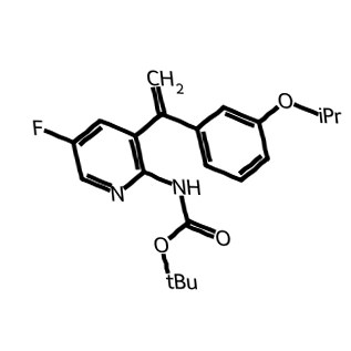 C=C(c1cccc(OC(C)C)c1)c1cc(F)cnc1NC(=O)OC(C)(C)C